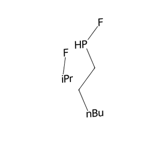 CC(C)F.CCCCCCPF